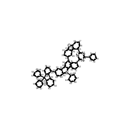 c1ccc(-c2nc(-c3ccccc3)nc(-c3cccc4oc5ccc(-c6ccc7c(c6)c6cc(-c8cccc9c8-c8ccccc8C9(c8ccccc8)c8ccccc8)ccc6n7-c6ccccc6)cc5c34)n2)cc1